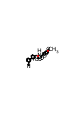 COc1ccc2oc(C(=O)N[C@@H](Cc3ccc(-c4cccc(C#N)c4)cc3)C(=O)O)cc2c1